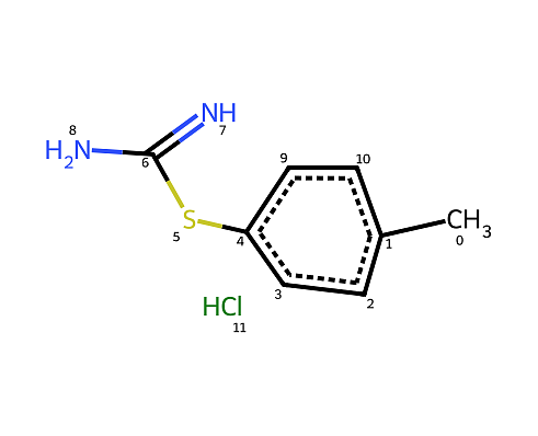 Cc1ccc(SC(=N)N)cc1.Cl